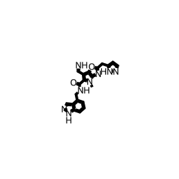 Cn1c(C(=O)NCc2cccc3[nH]ncc23)c(C=N)c2oc(Cc3ccn[nH]3)nc21